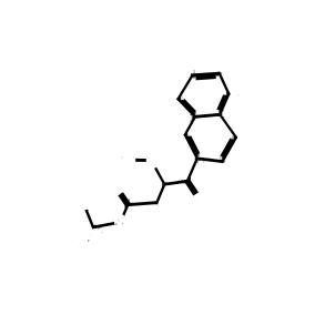 CC(=O)SC(CC(=O)N[C@@H](C)C(=O)O)C(=O)c1ccc2ccccc2c1